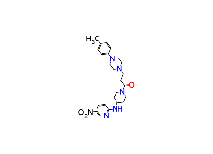 Cc1ccc(N2CCN(CCC(=O)N3CCC(Nc4ccc([N+](=O)[O-])cn4)CC3)CC2)cc1